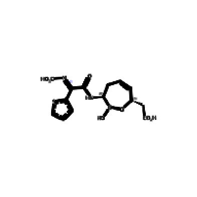 O=C(O)C[C@H]1C=CC[C@H](NC(=O)/C(=N/C(=O)O)c2cccs2)B(O)O1